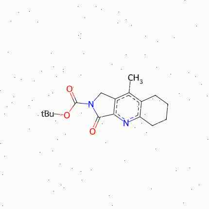 Cc1c2c(nc3c1CN(C(=O)OC(C)(C)C)C3=O)CCCC2